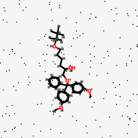 COc1ccc(C(OCC(O)CCCCO[Si](C)(C)C(C)(C)C)(c2ccccc2)c2ccc(OC)cc2)cc1